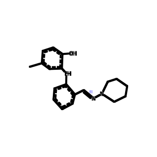 Cc1ccc(O)c(Pc2ccccc2/C=N/N2CCCCC2)c1